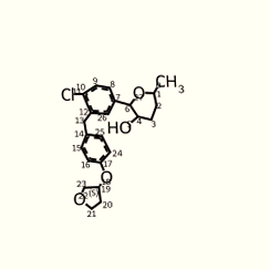 CC1CCC(O)C(c2ccc(Cl)c(Cc3ccc(O[C@H]4CCOC4)cc3)c2)O1